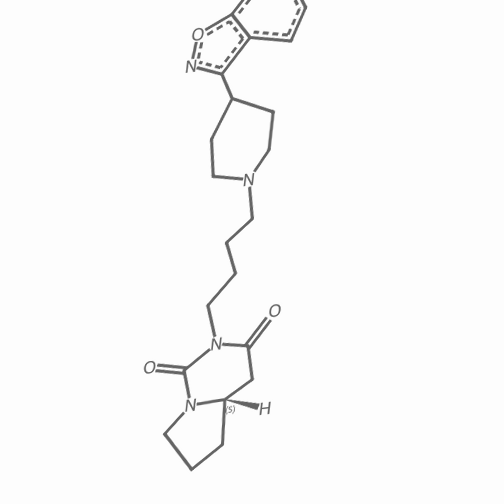 O=C1C[C@@H]2CCCN2C(=O)N1CCCCN1CCC(c2noc3ccccc23)CC1